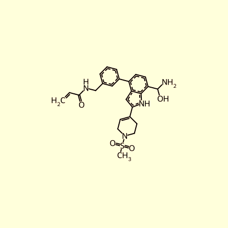 C=CC(=O)NCc1cccc(-c2ccc(C(N)O)c3[nH]c(C4=CCN(S(C)(=O)=O)CC4)cc23)c1